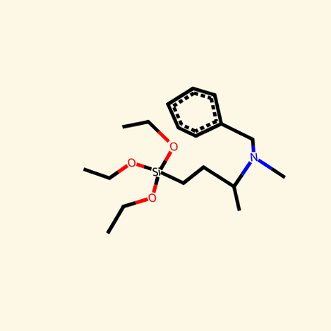 CCO[Si](CCC(C)N(C)Cc1ccccc1)(OCC)OCC